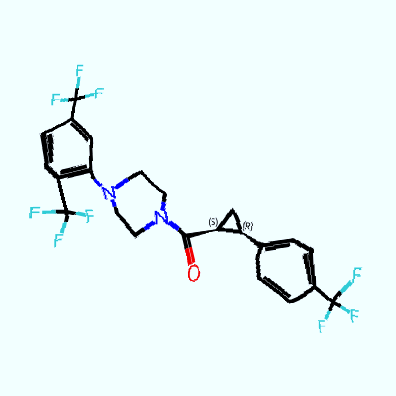 O=C([C@H]1C[C@H]1c1ccc(C(F)(F)F)cc1)N1CCN(c2cc(C(F)(F)F)ccc2C(F)(F)F)CC1